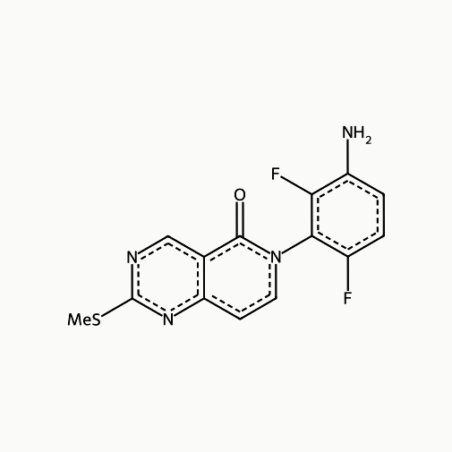 CSc1ncc2c(=O)n(-c3c(F)ccc(N)c3F)ccc2n1